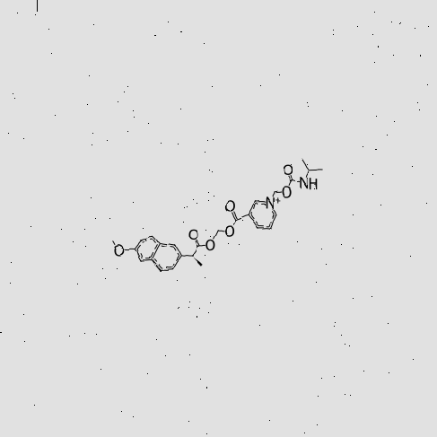 COc1ccc2cc([C@H](C)C(=O)OCOC(=O)c3ccc[n+](COC(=O)NC(C)C)c3)ccc2c1